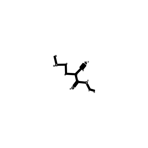 CCOC(=O)C(C#N)CCOC